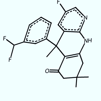 CC1(C)CC(=O)C2=C(C1)Nc1ncc(F)cc1C2(C)c1cccc(C(F)F)c1